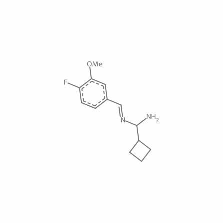 COc1cc(/C=N/C(N)C2CCC2)ccc1F